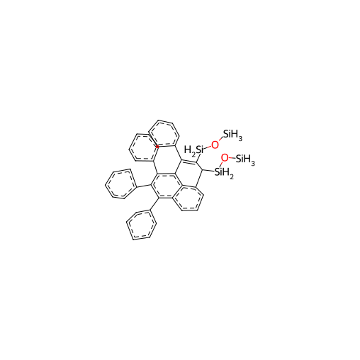 [SiH3]O[SiH2]C1=C(c2ccccc2)c2c(-c3ccccc3)c(-c3ccccc3)c(-c3ccccc3)c3cccc(c23)C1[SiH2]O[SiH3]